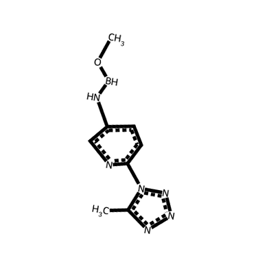 COBNc1ccc(-n2nnnc2C)nc1